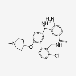 C=C(NCc1ccccc1Cl)c1ccc(N)c(C(=N)c2ccc(OC3CCN(C)CC3)cc2)c1